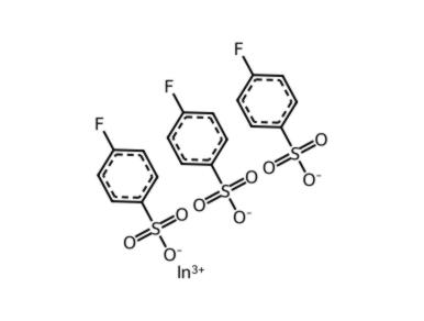 O=S(=O)([O-])c1ccc(F)cc1.O=S(=O)([O-])c1ccc(F)cc1.O=S(=O)([O-])c1ccc(F)cc1.[In+3]